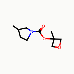 CC1CCN(C(=O)OC2(C)COC2)C1